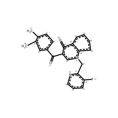 Cc1ccc(C(=O)c2cn(Cc3ncccc3F)c3ccccc3c2=O)cc1C